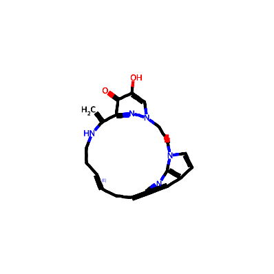 C=C1NCC/C=C/Cc2cnc3c(ccn3C3(CCCC3)Cn3cc(O)c(=O)c1n3)c2